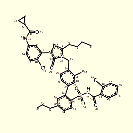 CCCCc1nn(-c2cc(NC(=O)C3CC3)ccc2Cl)c(=O)n1Cc1ccc(-c2cc(CCC)ccc2S(=O)(=O)NC(=O)c2ccccc2F)cc1F